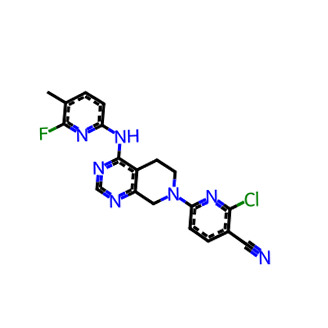 Cc1ccc(Nc2ncnc3c2CCN(c2ccc(C#N)c(Cl)n2)C3)nc1F